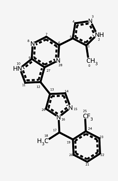 Cc1[nH]ncc1-c1cnc2[nH]cc(-c3cnn(C(C)c4ccccc4C(F)(F)F)c3)c2n1